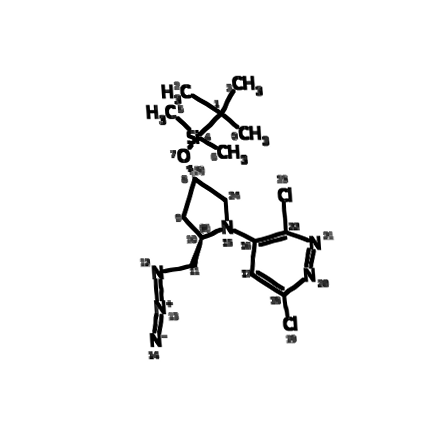 CC(C)(C)[Si](C)(C)O[C@H]1C[C@H](CN=[N+]=[N-])N(c2cc(Cl)nnc2Cl)C1